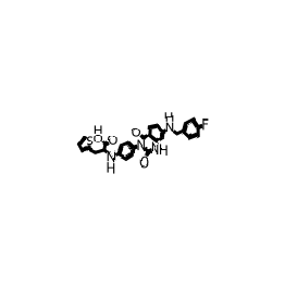 O=C(O)C(Cc1cccs1)Nc1ccc(-n2c(=O)[nH]c3cc(NCc4ccc(F)cc4)ccc3c2=O)cc1